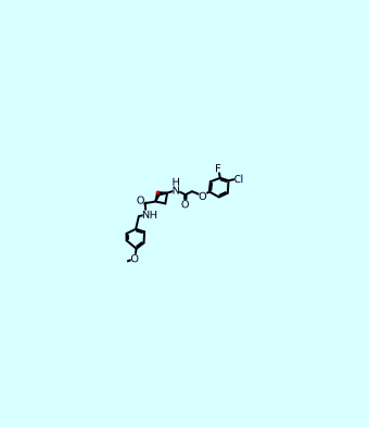 COc1ccc(CNC(=O)C23CC(NC(=O)COc4ccc(Cl)c(F)c4)(C2)C3)cc1